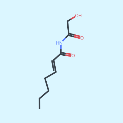 CCCCC=CC(=O)NC(=O)CO